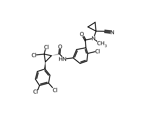 CN(C(=O)c1cc(NC(=O)[C@@H]2[C@@H](c3ccc(Cl)c(Cl)c3)C2(Cl)Cl)ccc1Cl)C1(C#N)CC1